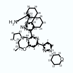 C[C@H](Oc1cc(-c2ccn([C@H]3CCCOC3)n2)nc(-c2noc3c2CCC[C@@]32CCCc3sc(N)c(C#N)c32)n1)[C@@H]1CCCN1C